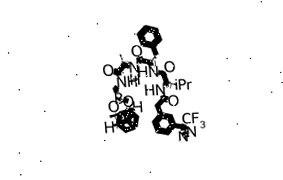 CC(C)[C@H](NC(=O)Cc1cccc(C2(C(F)(F)F)N=N2)c1)C(=O)N[C@@H](Cc1ccccc1)C(=O)N[C@@H](C)C(=O)NCB1O[C@@H]2CC3C[C@@H](C3(C)C)[C@]2(C)O1